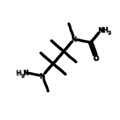 CN(N)C(C)(C)C(C)(C)N(C)C(N)=O